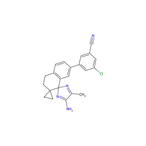 CC1=NC2(N=C1N)c1cc(-c3cc(Cl)cc(C#N)c3)ccc1CCC21CC1